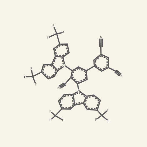 N#Cc1cc(C#N)cc(-c2cc(-n3c4ccc(C(F)(F)F)cc4c4cc(C(F)(F)F)ccc43)c(C#N)c(-n3c4ccc(C(F)(F)F)cc4c4cc(C(F)(F)F)ccc43)c2)c1